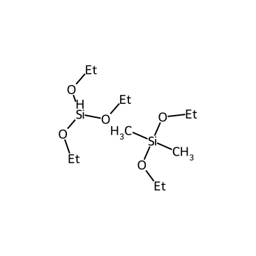 CCO[SiH](OCC)OCC.CCO[Si](C)(C)OCC